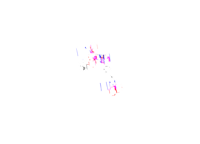 C[C@@H](OCc1ccc(C#CCNC(=O)OC(C)(C)C)cc1)[C@H](CCC(N)=O)NC(=O)OCC[Si](C)(C)C